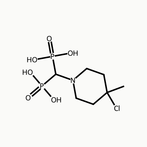 CC1(Cl)CCN(C(P(=O)(O)O)P(=O)(O)O)CC1